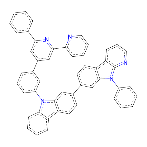 c1ccc(-c2cc(-c3cccc(-n4c5ccccc5c5ccc(-c6ccc7c8cccnc8n(-c8ccccc8)c7c6)cc54)c3)cc(-c3ccccn3)n2)cc1